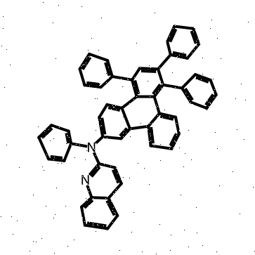 c1ccc(-c2cc(-c3ccccc3)c3c4ccc(N(c5ccccc5)c5ccc6ccccc6n5)cc4c4ccccc4c3c2-c2ccccc2)cc1